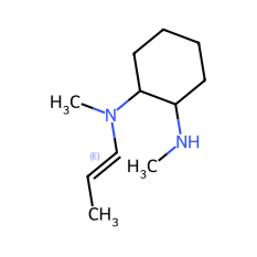 C/C=C/N(C)C1CCCCC1NC